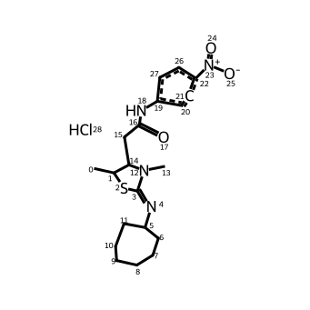 CC1S/C(=N\C2CCCCCC2)N(C)C1CC(=O)Nc1ccc([N+](=O)[O-])cc1.Cl